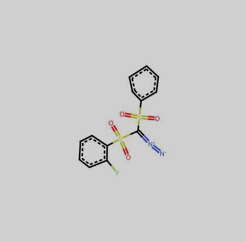 [N-]=[N+]=C(S(=O)(=O)c1ccccc1)S(=O)(=O)c1ccccc1F